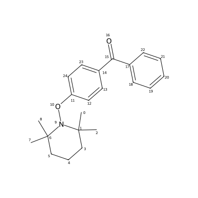 CC1(C)CCCC(C)(C)N1Oc1ccc(C(=O)c2ccccc2)cc1